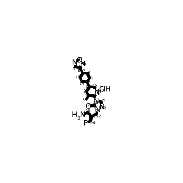 Cc1cc(-c2ccc(-c3cnon3)cc2)cnc1-n1cnn(C/C(=C/F)CN)c1=O.Cl